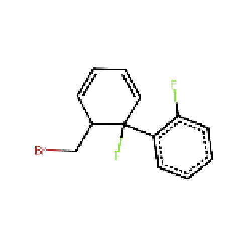 Fc1ccccc1C1(F)C=CC=CC1CBr